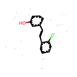 Oc1cccc(C=Cc2ccccc2Cl)c1